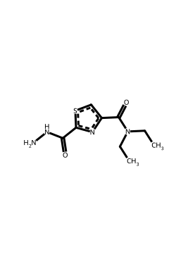 CCN(CC)C(=O)c1csc(C(=O)NN)n1